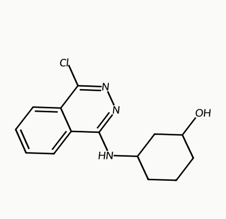 OC1CCCC(Nc2nnc(Cl)c3ccccc23)C1